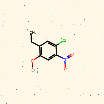 CCc1cc(Cl)c([N+](=O)[O-])cc1OC